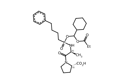 CCC(=O)OC(OP(=O)(CCCCc1ccccc1)N[C@@H](C)C(=O)N1CCC[C@H]1C(=O)O)C1CCCCC1